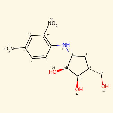 O=[N+]([O-])c1ccc(N[C@@H]2C[C@H](CO)[C@@H](O)[C@H]2O)c([N+](=O)[O-])c1